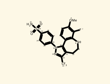 COc1ccc2c(c1F)[SH]CCc1c(C(F)(F)F)nn(-c3ccc(S(N)(=O)=O)cc3)c1-2